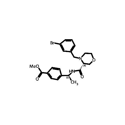 COC(=O)c1ccc([C@H](C)NC(=O)[C@H]2COCCN2Cc2cccc(Br)c2)cc1